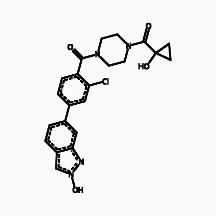 O=C(c1ccc(-c2ccc3cn(O)nc3c2)cc1Cl)N1CCN(C(=O)C2(O)CC2)CC1